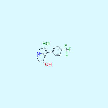 Cl.OC1CCN2CC=C(c3ccc(C(F)(F)F)cc3)C1C2